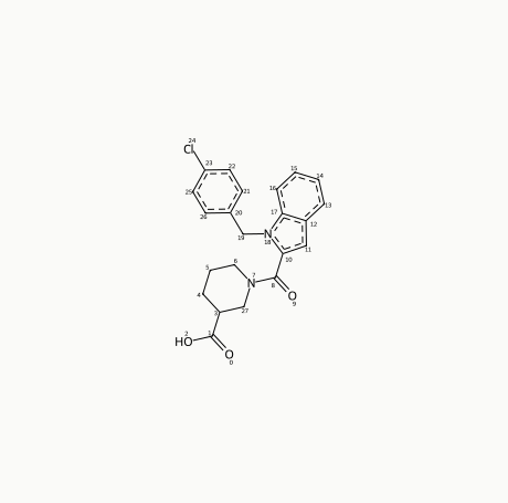 O=C(O)C1CCCN(C(=O)c2cc3ccccc3n2Cc2ccc(Cl)cc2)C1